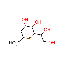 O=C(O)C1CC(O)C(O)C(C(O)CO)S1